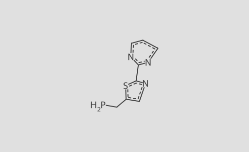 PCc1cnc(-c2ncccn2)s1